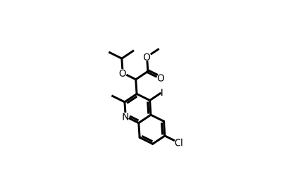 COC(=O)C(OC(C)C)c1c(C)nc2ccc(Cl)cc2c1I